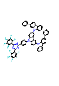 Fc1c(F)c(F)c(-c2nc(-c3ccc(-n4c5ccc(-n6c7ccccc7c7ccc(-c8ccccc8)cc76)cc5c5cc(-n6c7ccccc7c7ccc(-c8ccccc8)cc76)ccc54)cc3)nc(-c3c(F)c(F)c(F)c(F)c3F)n2)c(F)c1F